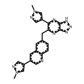 Cn1cc(-c2cnc3ccc(Cc4nc5nn[nH]c5nc4-c4cnn(C)c4)cc3c2)cn1